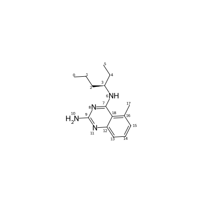 CCC[C@@H](CC)Nc1nc(N)nc2cccc(C)c12